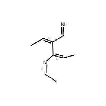 C\C=C(C=N)/C(=C\C)/N=C\I